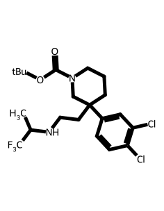 CC(NCCC1(c2ccc(Cl)c(Cl)c2)CCCN(C(=O)OC(C)(C)C)C1)C(F)(F)F